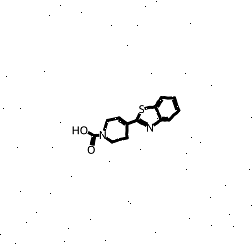 O=C(O)N1CC=C(c2nc3ccccc3s2)CC1